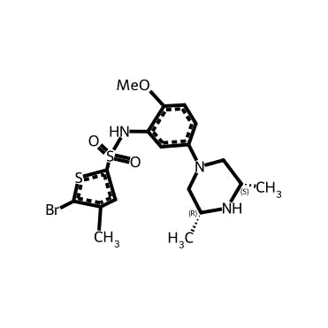 COc1ccc(N2C[C@@H](C)N[C@@H](C)C2)cc1NS(=O)(=O)c1cc(C)c(Br)s1